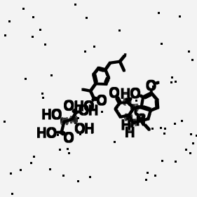 CC(C)Cc1ccc(C(C)C(=O)O)cc1.COc1ccc2c3c1O[C@H]1C(=O)CC[C@H]4[C@@H](C2)N(C)CC[C@]314.O=C(O)[C@H](O)[C@@H](O)C(=O)O